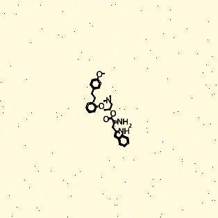 COc1ccc(CCc2ccccc2OCC(CN(C)C)OC(=O)[C@H](N)Cc2cc3ccccc3[nH]2)cc1